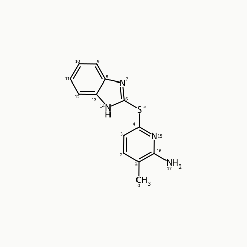 Cc1ccc(Sc2nc3ccccc3[nH]2)nc1N